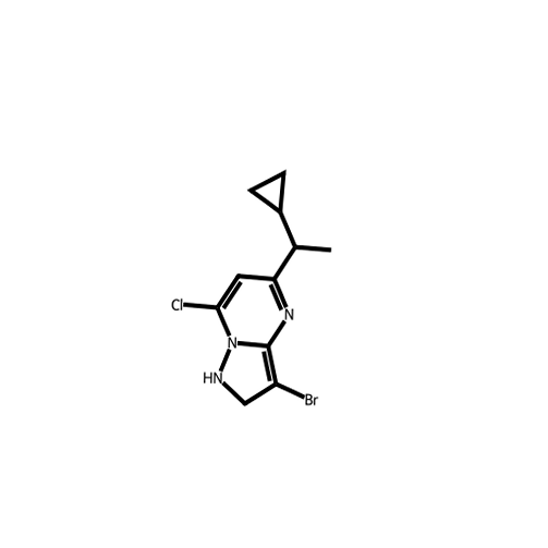 CC(C1=NC2=C(Br)CNN2C(Cl)=C1)C1CC1